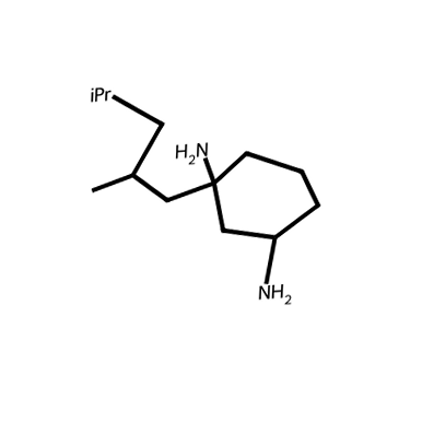 CC(C)CC(C)CC1(N)CCCC(N)C1